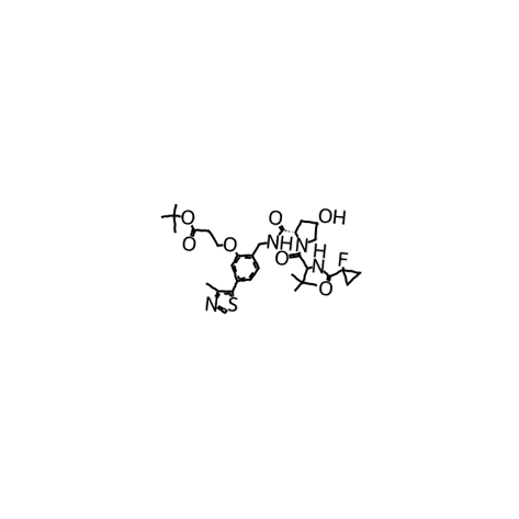 Cc1ncsc1-c1ccc(CNC(=O)[C@@H]2C[C@@H](O)CN2C(=O)C(NC(=O)C2(F)CC2)C(C)(C)C)c(OCCC(=O)OC(C)(C)C)c1